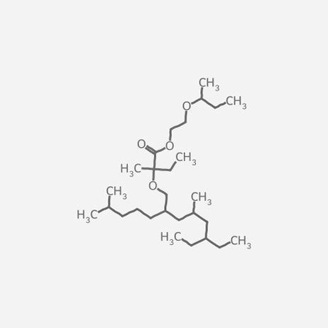 CCC(CC)CC(C)CC(CCCC(C)C)COC(C)(CC)C(=O)OCCOC(C)CC